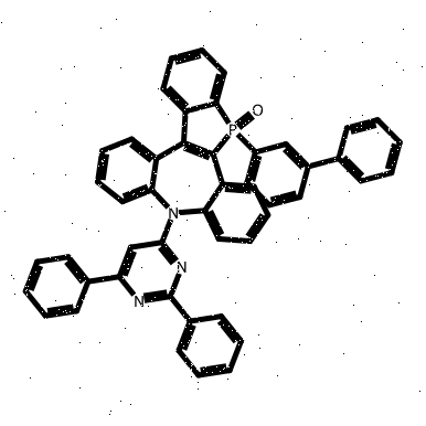 O=P1(c2cccc(-c3ccccc3)c2)C2=C(c3ccccc3N(c3cc(-c4ccccc4)nc(-c4ccccc4)n3)c3ccccc32)c2ccccc21